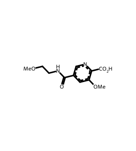 COCCNC(=O)c1cnc(C(=O)O)c(OC)c1